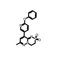 CC1=NN2CCS(=O)(=O)N=C2C(c2ccc(Oc3ccccc3)nc2)=C1